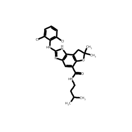 CC(C)CCNC(=O)c1cc2nc(Nc3c(Cl)cccc3Cl)[nH]c2c2c1OC(C)(C)C2